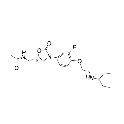 CCC(CC)NCCOc1ccc(N2C[C@H](CNC(C)=O)OC2=O)cc1F